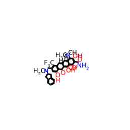 CN(Cc1cc(O)c2c(c1C(F)(F)F)C[C@H]1C[C@H]3[C@H](N(C)C)C(O)=C(C(N)=O)C(=O)[C@@]3(O)C(O)=C1C2=O)C1Cc2ccccc2C1